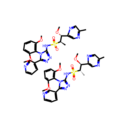 COc1cccc(OC)c1-n1c(NS(=O)(=O)[C@@H](C)[C@@H](OC)c2cnc(C)cn2)nnc1-c1cccnc1.COc1cccc(OC)c1-n1c(NS(=O)(=O)[C@H](C)[C@H](OC)c2cnc(C)cn2)nnc1-c1cccnc1